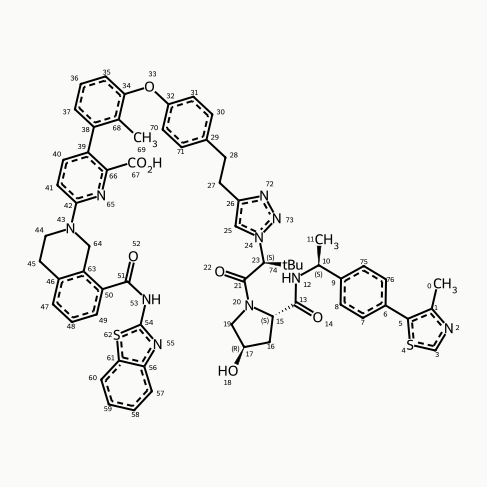 Cc1ncsc1-c1ccc([C@H](C)NC(=O)[C@@H]2C[C@@H](O)CN2C(=O)[C@@H](n2cc(CCc3ccc(Oc4cccc(-c5ccc(N6CCc7cccc(C(=O)Nc8nc9ccccc9s8)c7C6)nc5C(=O)O)c4C)cc3)nn2)C(C)(C)C)cc1